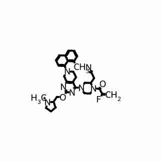 C=C(F)C(=O)N1CCN(c2nc(OCC3CCCN3C)nc3c2CCN(c2cccc4cccc(C)c24)C3)CC1CC#N